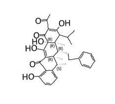 CC(=O)C1=C(O)C(C(C)C)[C@@]2(C)[C@H](CCc3ccccc3)[C@]3(C)C(=C(O)[C@@]2(O)C1=O)C(=O)c1c(O)cccc1[C@H]3C